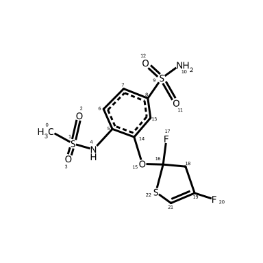 CS(=O)(=O)Nc1ccc(S(N)(=O)=O)cc1OC1(F)CC(F)=CS1